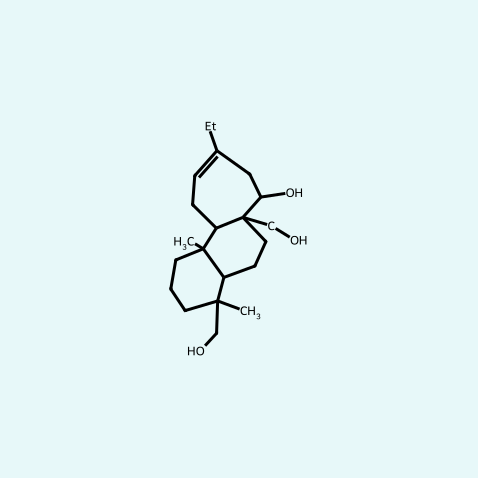 CCC1=CCC2C3(C)CCCC(C)(CO)C3CCC2(CO)C(O)C1